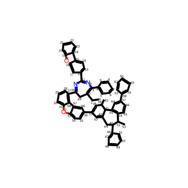 CCC1=C(c2ccccc2)N=C(c2ccc3c(c2)oc2ccccc23)N=C(c2cccc3oc4ccc(C5=CC(C)C6C(=C5)CC(c5ccccc5)C(C)c5ccc(-c7ccccc7)cc56)cc4c23)C1